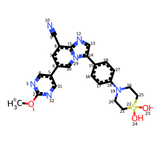 COc1ncc(-c2cc(C#N)c3ncc(-c4ccc(N5CCS(O)(O)CC5)cc4)n3c2)cn1